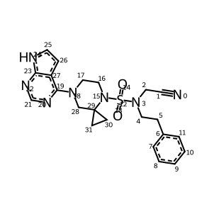 N#CCN(CCc1ccccc1)S(=O)(=O)N1CCN(c2ncnc3[nH]ccc23)CC12CC2